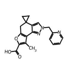 Cc1c(C(=O)O)oc2c1-c1nn(Cc3ccccn3)cc1C1(CC1)C2